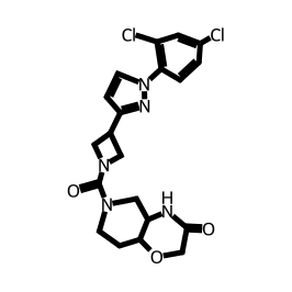 O=C1COC2CCN(C(=O)N3CC(c4ccn(-c5ccc(Cl)cc5Cl)n4)C3)CC2N1